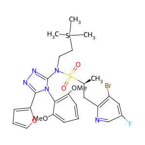 COc1cccc(OC)c1-n1c(-c2ccco2)nnc1N(CC[Si](C)(C)C)S(=O)(=O)[C@@H](C)Cc1ncc(F)cc1Br